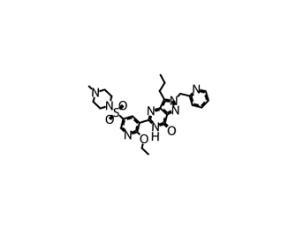 CCCc1c2nc(-c3cc(S(=O)(=O)N4CCN(C)CC4)cnc3OCC)[nH]c(=O)c2nn1Cc1ccccn1